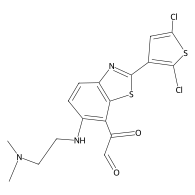 CN(C)CCNc1ccc2nc(-c3cc(Cl)sc3Cl)sc2c1C(=O)C=O